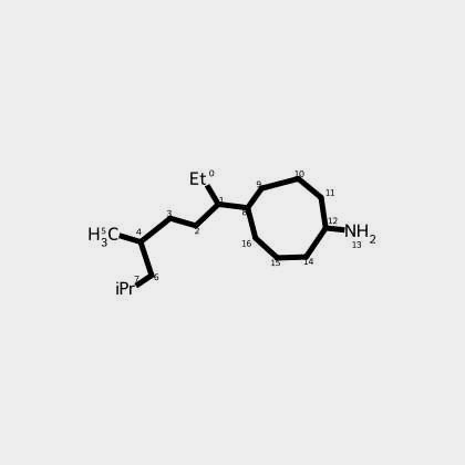 CCC(CCC(C)CC(C)C)C1CCCC(N)CCC1